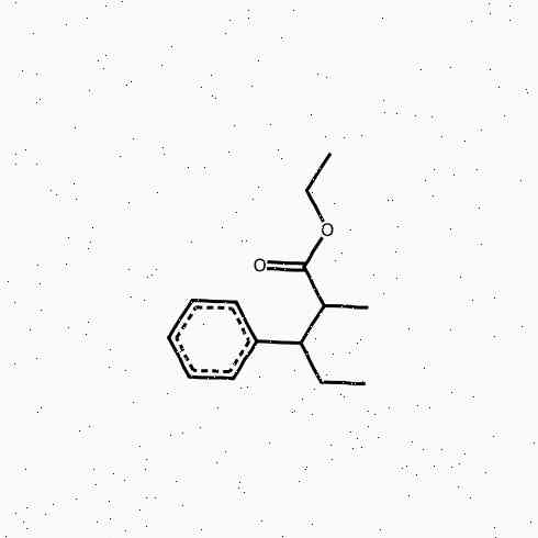 CCOC(=O)C(C)C(CC)c1ccccc1